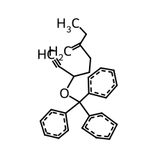 C#CC(CCC(=C)CC)OC(c1ccccc1)(c1ccccc1)c1ccccc1